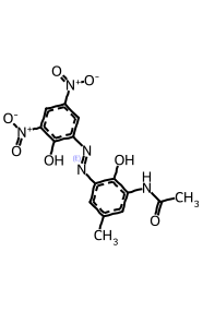 CC(=O)Nc1cc(C)cc(/N=N/c2cc([N+](=O)[O-])cc([N+](=O)[O-])c2O)c1O